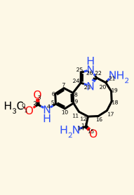 COC(=O)Nc1ccc2c(c1)CC(C(N)=O)CCCCC(N)c1nc-2c[nH]1